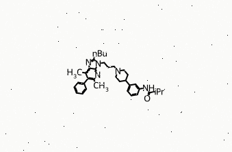 CCCCc1nc2c(C)c(-c3ccccc3)c(C)nc2n1CCCN1CCC(c2cccc(NC(=O)C(C)C)c2)CC1